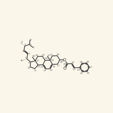 CC(C)[C@@H](C)C=C[C@@H](C)C1CCC2C3=CC=C4CC(OC(=O)C=Cc5ccccc5)CCC4(C)C3CCC21C